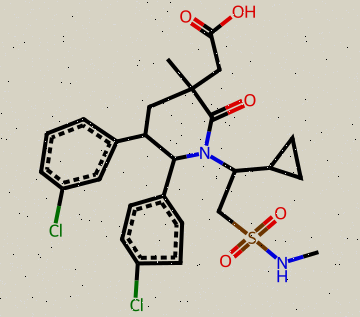 CNS(=O)(=O)CC(C1CC1)N1C(=O)C(C)(CC(=O)O)CC(c2cccc(Cl)c2)C1c1ccc(Cl)cc1